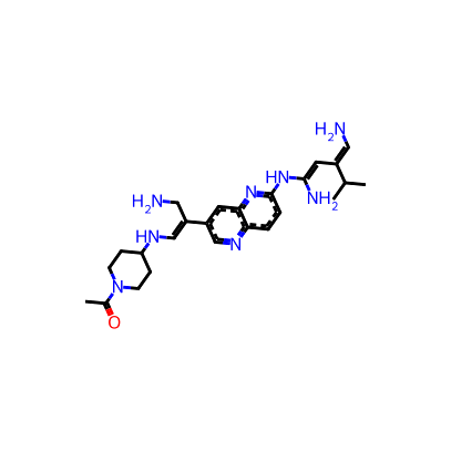 CC(=O)N1CCC(N/C=C(\CN)c2cnc3ccc(N/C(N)=C/C(=C\N)C(C)C)nc3c2)CC1